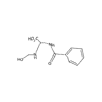 O=C(NC(NCO)C(=O)O)c1ccccc1